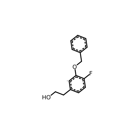 OCCc1[c]c(OCc2ccccc2)c(F)cc1